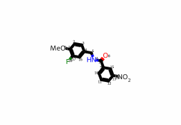 COc1ccc(CNC(=O)c2cccc([N+](=O)[O-])c2)cc1F